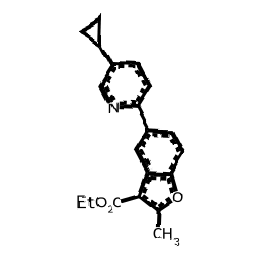 CCOC(=O)c1c(C)oc2ccc(-c3ccc(C4CC4)cn3)cc12